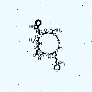 CC1NC(=O)C(CC(=O)O)NC(=O)CNC(=O)C(CCCC[N+]2(C)CCOCC2)NC(=O)CCSSCC(C(N)=O)NC(=O)C(C)N(CCc2c[nH]c3ccccc23)C1=O